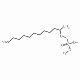 CCCCCCCCCCCCCCCCCCCC(C)OOP(=O)(O)OCC